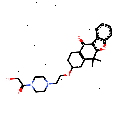 CC1(C)C2=C(CCC(OCCN3CCN(C(=O)CO)CC3)C2)C(=O)c2c1oc1ccccc21